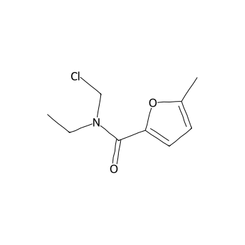 CCN(CCl)C(=O)c1ccc(C)o1